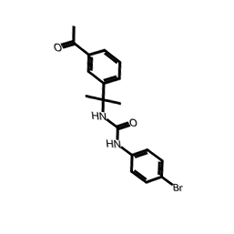 CC(=O)c1cccc(C(C)(C)NC(=O)Nc2ccc(Br)cc2)c1